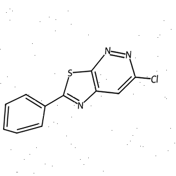 Clc1cc2nc(-c3ccccc3)sc2nn1